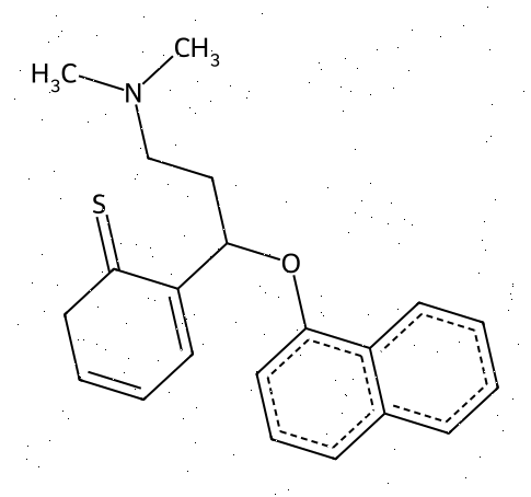 CN(C)CCC(Oc1cccc2ccccc12)C1=CC=CCC1=S